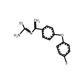 C=C(/N=C(/N)CC)c1ccc(Oc2ccc(F)cc2)cc1